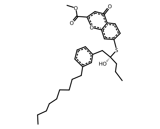 CCCCCCCCCc1cccc(C[C@](O)(CCC)Sc2ccc3c(=O)cc(C(=O)OC)oc3c2)c1